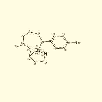 CN1CCCC(c2ccc(I)cc2)C2C1C1CCN2CC1